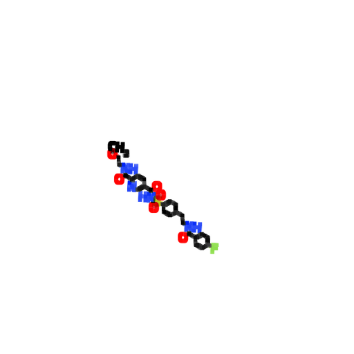 COCCNC(=O)c1ccc(C(=O)NS(=O)(=O)c2ccc(CCNC(=O)c3ccc(F)cc3)cc2)cn1